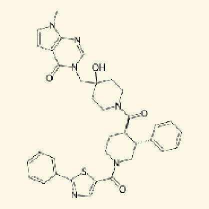 Cn1ccc2c(=O)n(CC3(O)CCN(C(=O)[C@@H]4CCN(C(=O)c5cnc(-c6ccccc6)s5)C[C@H]4c4ccccc4)CC3)cnc21